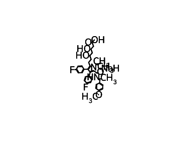 COc1ccc([C@H](C)NC(=O)c2c(-c3ccc(F)cc3)c(-c3ccc(F)cc3)c(CC[C@@H](O)C[C@@H](O)CC(=O)O)n2C(C)C)cc1.[NaH]